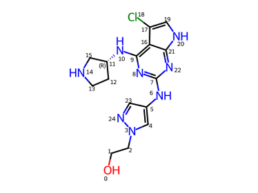 OCCn1cc(Nc2nc(N[C@@H]3CCNC3)c3c(Cl)c[nH]c3n2)cn1